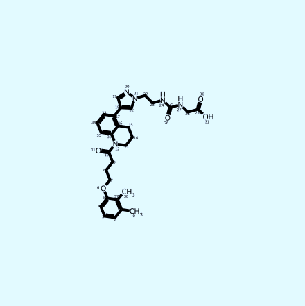 Cc1cccc(OCCCC(=O)N2CCCc3c(-c4cnn(CCNC(=O)NCC(=O)O)c4)cccc32)c1C